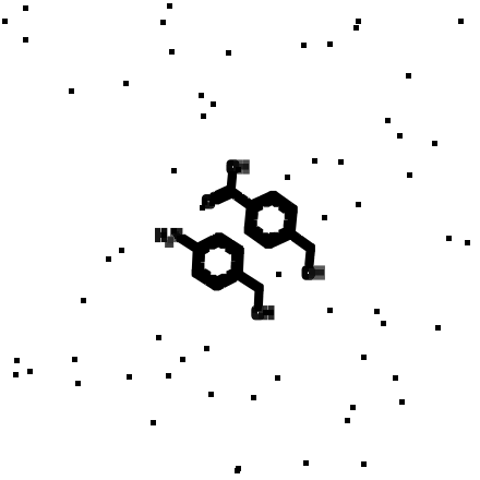 Nc1ccc(CO)cc1.O=C(O)c1ccc(CO)cc1